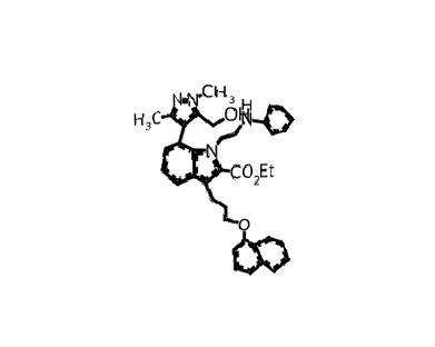 CCOC(=O)c1c(CCCOc2cccc3ccccc23)c2cccc(-c3c(C)nn(C)c3CO)c2n1CCNc1ccccc1